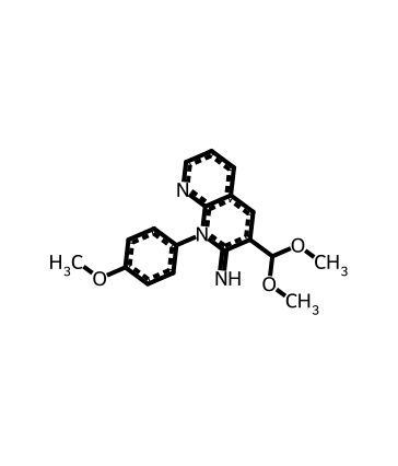 COc1ccc(-n2c(=N)c(C(OC)OC)cc3cccnc32)cc1